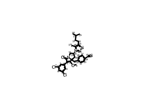 COC1=C(c2cc(Cl)cc(Cl)c2)C(=O)N2C[C@@H](n3nnc(CCC(C)C)c3I)CC12Cc1ccc(C#N)cc1